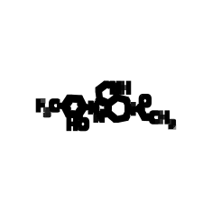 C=CC(=O)N1CCc2nn(-c3ccc(C(F)(F)F)cc3O)c3c2C(C1)NCC3